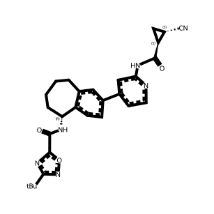 CC(C)(C)c1noc(C(=O)N[C@@H]2CCCCc3cc(-c4ccnc(NC(=O)[C@H]5C[C@@H]5C#N)c4)ccc32)n1